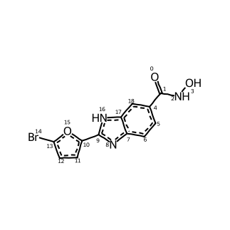 O=C(NO)c1ccc2nc(-c3ccc(Br)o3)[nH]c2c1